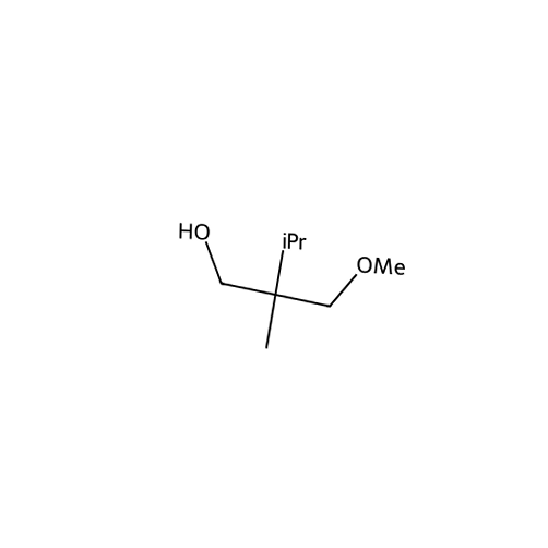 COCC(C)(CO)C(C)C